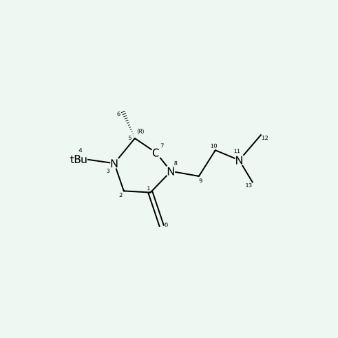 C=C1CN(C(C)(C)C)[C@H](C)CN1CCN(C)C